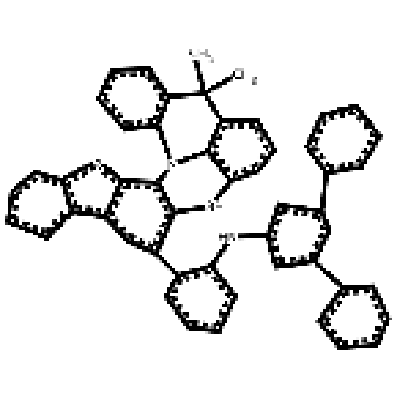 CC1(C)c2ccccc2N2c3c(cccc31)Bc1c(-c3ccccc3Nc3cc(-c4ccccc4)cc(-c4ccccc4)c3)cc3c(sc4ccccc43)c12